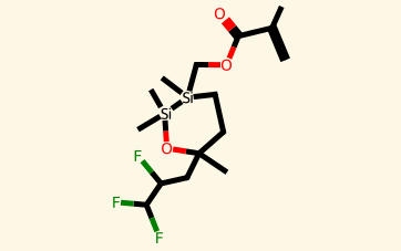 C=C(C)C(=O)OC[Si]1(C)CCC(C)(CC(F)C(F)F)O[Si]1(C)C